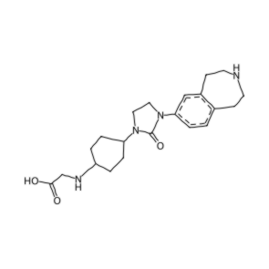 O=C(O)CNC1CCC(N2CCN(c3ccc4c(c3)CCNCC4)C2=O)CC1